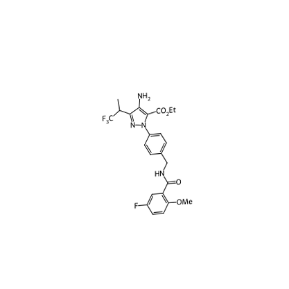 CCOC(=O)c1c(N)c(C(C)C(F)(F)F)nn1-c1ccc(CNC(=O)c2cc(F)ccc2OC)cc1